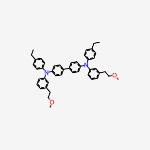 CCc1ccc(N(c2ccc(-c3ccc(N(c4ccc(CC)cc4)c4cccc(CCOC)c4)cc3)cc2)c2cccc(CCOC)c2)cc1